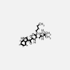 CCCCOC(=O)[C@H](CC(=O)NC(C)(C)C)NC(=O)C(=O)c1c[nH]c2ccccc12